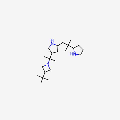 CC(C)(C)C1CN(C(C)(C)C2CNC(CC(C)(C)C3CCCN3)C2)C1